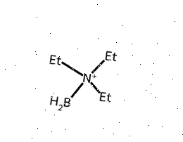 B[N+](CC)(CC)CC